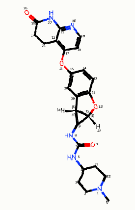 CN1CCC(NC(=O)NC2[C@H]3Oc4ccc(Oc5ccnc6c5CCC(=O)N6)cc4[C@@H]23)CC1